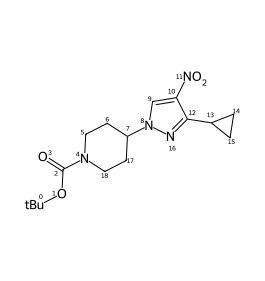 CC(C)(C)OC(=O)N1CCC(n2cc([N+](=O)[O-])c(C3CC3)n2)CC1